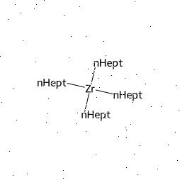 CCCCCC[CH2][Zr]([CH2]CCCCCC)([CH2]CCCCCC)[CH2]CCCCCC